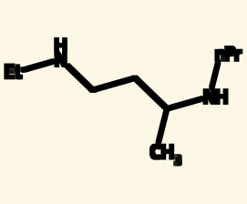 CCCNC(C)CCNCC